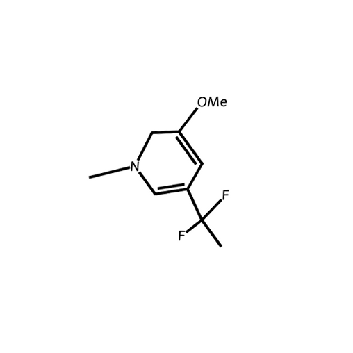 COC1=CC(C(C)(F)F)=CN(C)C1